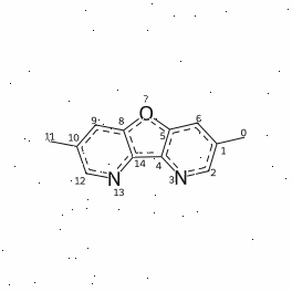 Cc1cnc2c(c1)oc1cc(C)cnc12